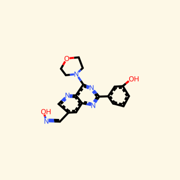 O/N=C\c1cnc2c(N3CCOCC3)nc(-c3cccc(O)c3)nc2c1